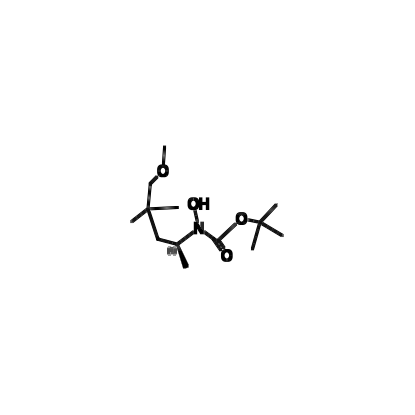 COCC(C)(C)C[C@H](C)N(O)C(=O)OC(C)(C)C